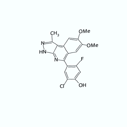 COc1cc2c(-c3cc(Cl)c(O)cc3F)nc3[nH]nc(C)c3c2cc1OC